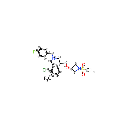 CS(=O)(=O)N1CC(OCCCN(Cc2ccc(F)cc2)Cc2cccc(C(F)(F)F)c2Cl)C1